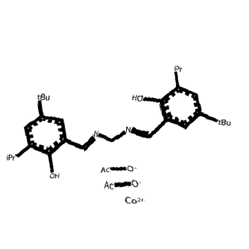 CC(=O)[O-].CC(=O)[O-].CC(C)c1cc(C(C)(C)C)cc(C=NCN=Cc2cc(C(C)(C)C)cc(C(C)C)c2O)c1O.[Co+2]